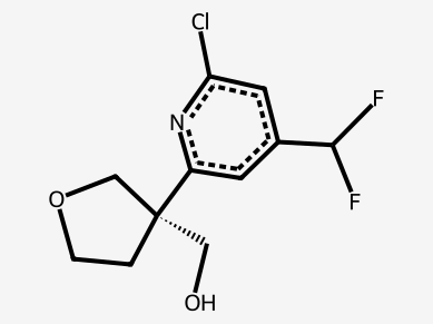 OC[C@]1(c2cc(C(F)F)cc(Cl)n2)CCOC1